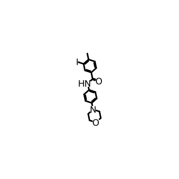 Cc1ccc(C(=O)Nc2ccc(N3CCOCC3)cc2)cc1I